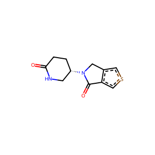 O=C1CC[C@H](N2Cc3cscc3C2=O)CN1